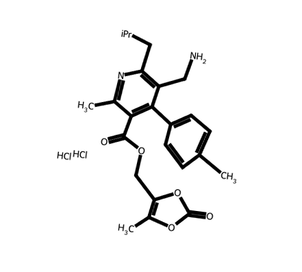 Cc1ccc(-c2c(CN)c(CC(C)C)nc(C)c2C(=O)OCc2oc(=O)oc2C)cc1.Cl.Cl